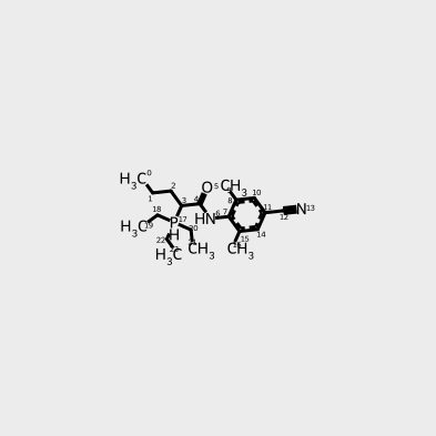 CCCC(C(=O)Nc1c(C)cc(C#N)cc1C)[PH](CC)(CC)CC